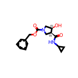 O=C(NC1CC1)[C@H]1CN(C(=O)OCc2ccccc2)C[C@H]1O